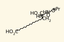 C=C(CCCCCCCCCCCCCCCCC(=O)O)N[C@@H](CCC(=O)NCCOCCC)C(=O)O